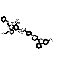 C[C@@]1(C[C@H](CSc2ccccc2)Nc2ccc(S(=O)(=O)NC(=O)c3ccc(N4CCC(C(O)c5ccccc5-c5ccc(C(F)(F)F)cc5)CC4)cc3)cc2S(=O)(=O)C(F)(F)F)CCCN1CCO